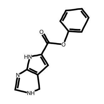 O=C(Oc1ccccc1)c1cc2c([nH]1)N=CNC2